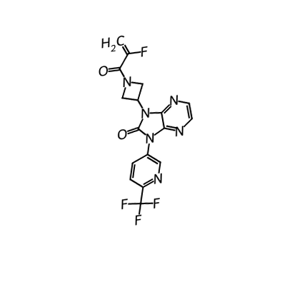 C=C(F)C(=O)N1CC(n2c(=O)n(-c3ccc(C(F)(F)F)nc3)c3nccnc32)C1